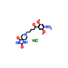 COc1cc(C(=O)CCCCN2CCC3(CC2)NC(=O)NC3=O)c(OC)cc1N.Cl